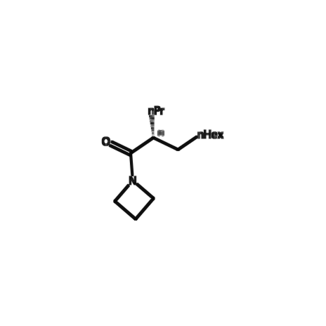 CCCCCCC[C@@H](CCC)C(=O)N1CCC1